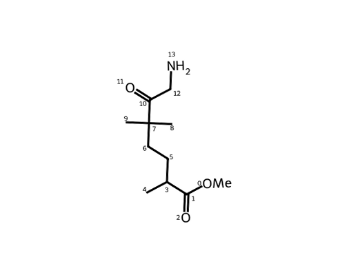 COC(=O)C(C)CCC(C)(C)C(=O)CN